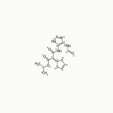 CC(C)OC(=O)C(C(=O)Nc1[nH]cnc1NC=O)=C1SC=CS1